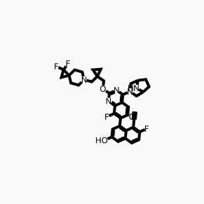 C#Cc1c(F)ccc2cc(O)cc(-c3c(Cl)cc4c(N5CC6CCC(C5)N6)nc(OCC5(CN6CCC7(CC6)CC7(F)F)CC5)nc4c3F)c12